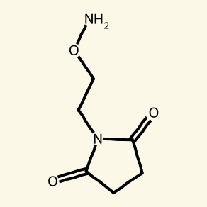 NOCCN1C(=O)CCC1=O